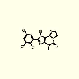 CCn1c(-c2cc(Cl)cc(Cl)c2Cl)nc2c1C1=NCCN1C(=O)N2C